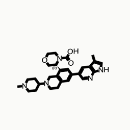 Cc1c[nH]c2ncc(-c3cc4c(c([C@@H]5COCCN5C(=O)O)c3)CN(C3CCN(C)CC3)CC4)cc12